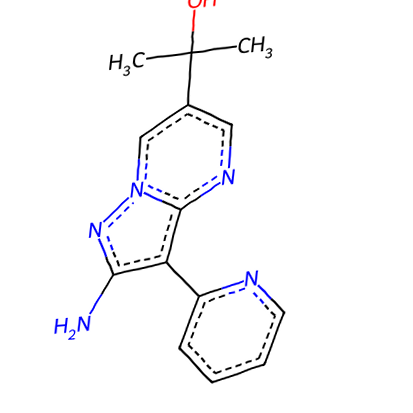 CC(C)(O)c1cnc2c(-c3ccccn3)c(N)nn2c1